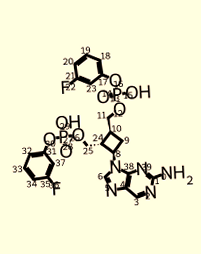 Nc1ncc2ncn([C@@H]3C[C@H](COP(=O)(O)Oc4cccc(F)c4)[C@H]3COP(=O)(O)Oc3cccc(F)c3)c2n1